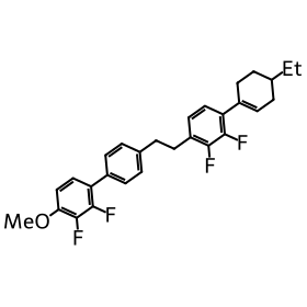 CCC1CC=C(c2ccc(CCc3ccc(-c4ccc(OC)c(F)c4F)cc3)c(F)c2F)CC1